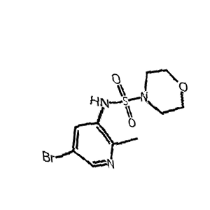 Cc1ncc(Br)cc1NS(=O)(=O)N1CCOCC1